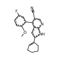 COc1ccc(F)cc1-c1c(C#N)cnc2[nH]c(C3=CCCCC3)cc12